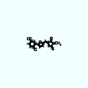 CN1C(=O)C(=Cc2ccc(-c3cc(Cl)ccc3Cl)o2)SC1=S